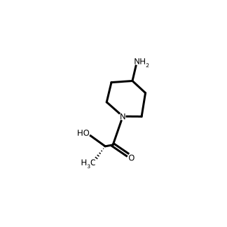 C[C@H](O)C(=O)N1CCC(N)CC1